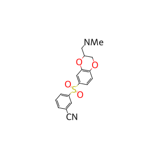 CNCC1COc2ccc(S(=O)(=O)c3cccc(C#N)c3)cc2O1